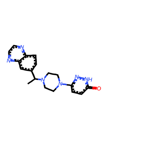 CC(c1ccc2nccnc2c1)N1CCN(c2ccc(=O)[nH]n2)CC1